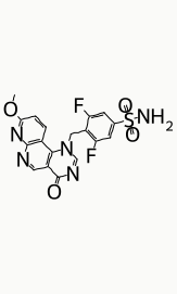 COc1ccc2c(ncc3c(=O)ncn(Cc4c(F)cc(S(N)(=O)=O)cc4F)c32)n1